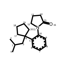 CC(C)CC1(c2ccccc2N2CCCC2=O)CCCC1